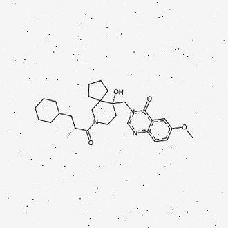 COc1ccc2ncn(CC3(O)CCN(C(=O)[C@H](C)CC4CCCCC4)CC34CCCC4)c(=O)c2c1